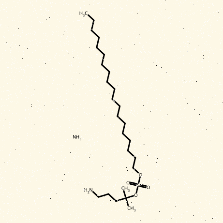 CCCCCCCCCCCCCCCCCCCOS(=O)(=O)OC(C)(C)CCCN.N